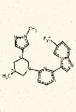 C[C@H]1C[C@@H](c2cnn(C)c2)CN(c2ccnc(-c3cnc4ccc(C(F)(F)F)cn34)n2)C1